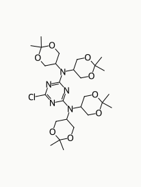 CC1(C)OCC(N(c2nc(Cl)nc(N(C3COC(C)(C)OC3)C3COC(C)(C)OC3)n2)C2COC(C)(C)OC2)CO1